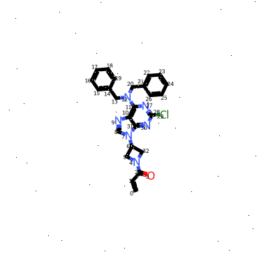 C=CC(=O)N1CC(n2cnc3c(N(Cc4ccccc4)Cc4ccccc4)nc(Cl)nc32)C1